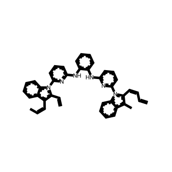 C=C/C=C\c1c(C)c2ccccc2n1-c1cccc(Nc2ccccc2Nc2cccc(-n3c(C=C)c(/C=C\C)c4ccccc43)n2)n1